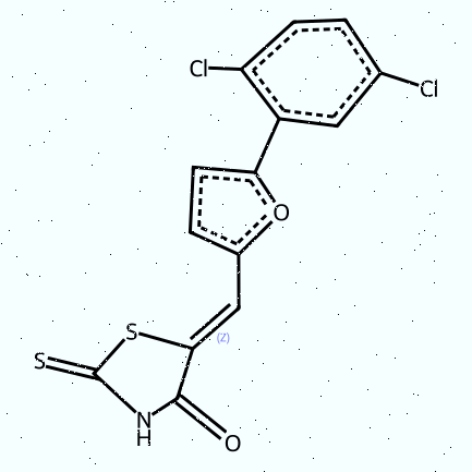 O=C1NC(=S)S/C1=C\c1ccc(-c2cc(Cl)ccc2Cl)o1